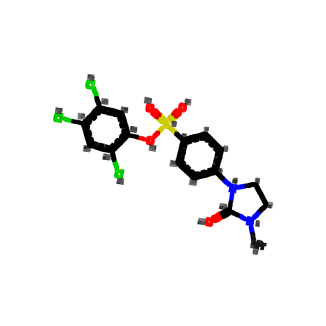 CCCN1CCN(c2ccc(S(=O)(=O)Oc3cc(Cl)c(Cl)cc3Cl)cc2)C1=O